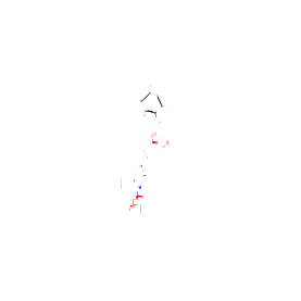 COC(=O)NCCCCC(=O)OCc1ccccc1